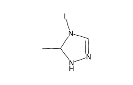 CC1NN=CN1I